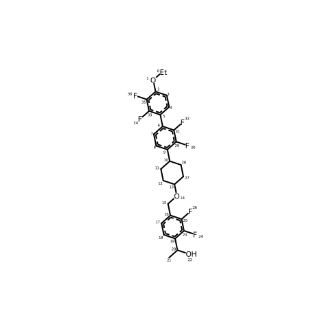 CCOc1ccc(-c2ccc(C3CCC(OCc4ccc(C(C)O)c(F)c4F)CC3)c(F)c2F)c(F)c1F